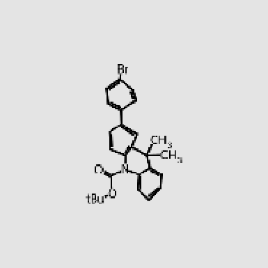 CC(C)(C)OC(=O)N1c2ccccc2C(C)(C)c2cc(-c3ccc(Br)cc3)ccc21